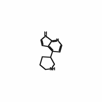 c1cc(C2CCCNC2)c2cc[nH]c2n1